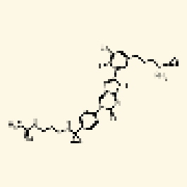 CC(=N)NCCCNC1(c2ccc(-n3cc4cc(-c5cc(CCCC(N)C6CC6)cc(Cl)c5F)[nH]c4nc3=O)cc2)CC1